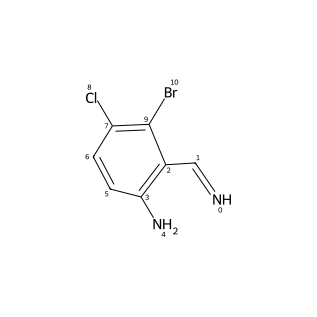 N=Cc1c(N)ccc(Cl)c1Br